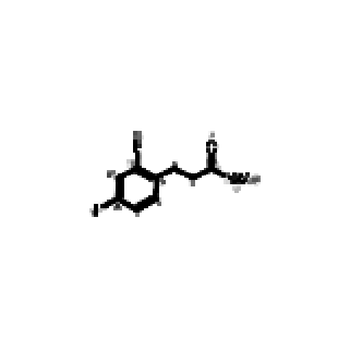 CNC(=O)CCc1ccc(F)cc1F